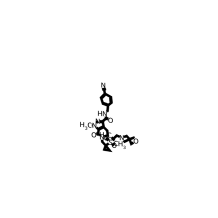 Cn1nc(C(=O)NCc2ccc(C#N)cc2)c2c1C(=O)N(CC1(S(=O)(=O)C(C)(C)CN3CC4(COC4)C3)CC1)CC2